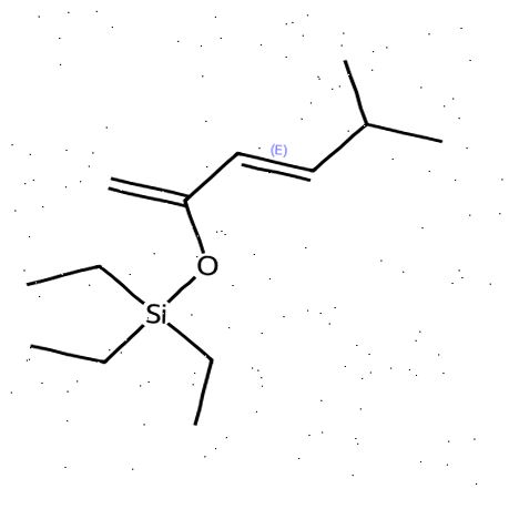 C=C(/C=C/C(C)C)O[Si](CC)(CC)CC